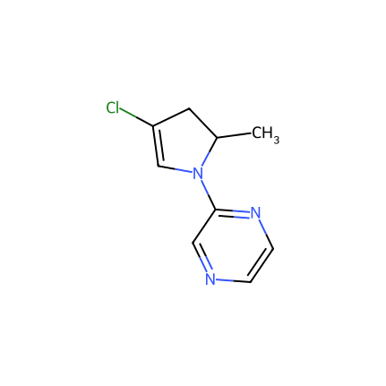 CC1CC(Cl)=CN1c1cnccn1